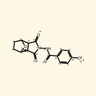 O=C(NN1C(=O)C2=C3CCC(O3)C2C1=O)c1ccc(C(F)(F)F)cc1